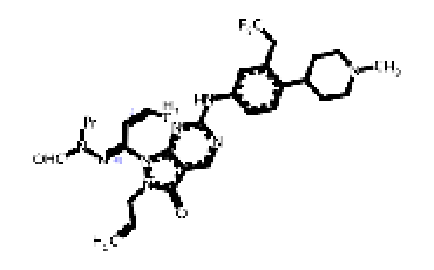 C=CCn1c(=O)c2cnc(Nc3ccc(C4CCN(C)CC4)c(CC(F)(F)F)c3)nc2n1C(/C=C\C)=N/N(C=O)C(C)C